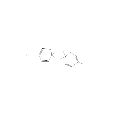 CC1=CCC(C)(OC2(C)C=CC(C)=CC2)C=C1